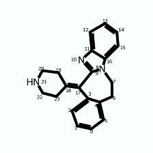 c1ccc2c(c1)CCn1c(nc3ccccc31)C2=C1CCNCC1